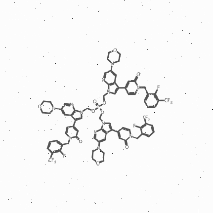 O=c1cc(-c2cn(COP(=O)(OCn3cc(-c4ccn(Cc5cccc(C(F)(F)F)c5F)c(=O)c4)c4cc(N5CCOCC5)cnc43)OCn3cc(-c4ccn(Cc5cccc(C(F)(F)F)c5F)c(=O)c4)c4cc(N5CCOCC5)cnc43)c3ncc(N4CCOCC4)cc23)ccn1Cc1cccc(C(F)(F)F)c1F